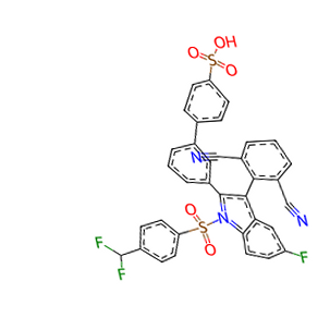 N#Cc1cccc(C#N)c1-c1c(-c2cccc(-c3ccc(S(=O)(=O)O)cc3)c2)n(S(=O)(=O)c2ccc(C(F)F)cc2)c2ccc(F)cc12